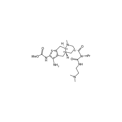 CCCN(C(=O)NCCN(C)C)C(=O)[C@@H]1C[C@@H]2Cc3c(sc(NC(=O)OC)c3N)C[C@H]2N(C)C1